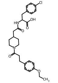 CCOc1ccc(CCC(=O)N2CCC(CC(=O)NC(Cc3ccc(Cl)cc3)C(=O)O)CC2)cc1